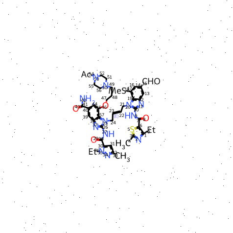 CCc1nc(C)sc1C(=O)Nc1nc2cc(C=O)cc(SC)c2n1C/C=C/Cn1c(NC(=O)c2cc(C)nn2CC)nc2cc(C(N)=O)cc(OCCCN3CCN(C(C)=O)CC3)c21